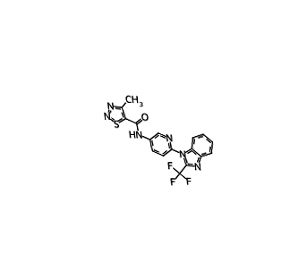 Cc1nnsc1C(=O)Nc1ccc(-n2c(C(F)(F)F)nc3ccccc32)nc1